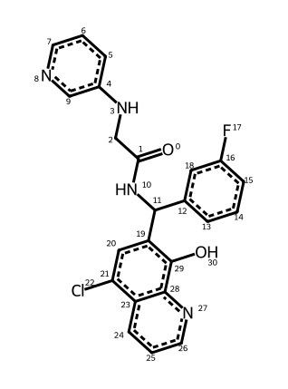 O=C(CNc1cccnc1)NC(c1cccc(F)c1)c1cc(Cl)c2cccnc2c1O